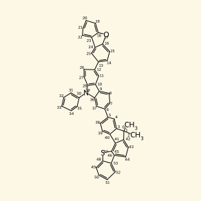 CC1(C)c2cc(-c3ccc4c5cc(-c6ccc7oc8ccccc8c7c6)ccc5n(-c5ccccc5)c4c3)ccc2-c2c1ccc1c2sc2ccccc21